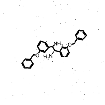 NC(c1cccc(OCc2ccccc2)c1)[C@H](N)c1cccc(OCc2ccccc2)c1